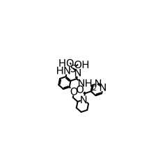 NC1=NS(O)(O)Nc2cccc(OCC3CCCCN3C(=O)c3ccnnc3)c21